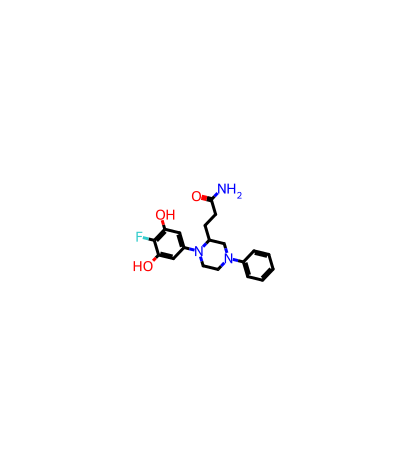 NC(=O)CCC1CN(c2ccccc2)CCN1c1cc(O)c(F)c(O)c1